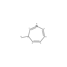 CC1C=CC=CN=C1